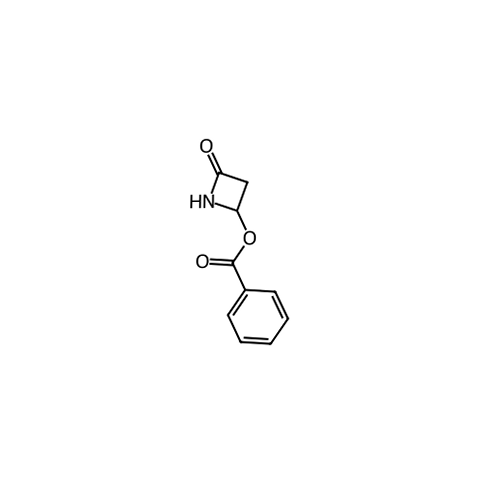 O=C1CC(OC(=O)c2ccccc2)N1